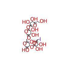 OCC[C@@H]1OC[C@@H](O[C@@H]2OC[C@@H](OC[C@@H]3OC[C@@H](O)C(O[C@@H]4O[C@@H](CI)C(O)C4O)C3O)C(O)C2O)C(O)C1O